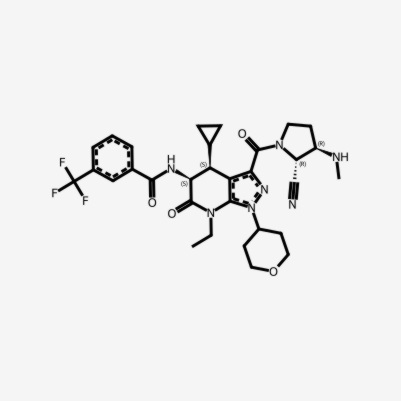 CCN1C(=O)[C@@H](NC(=O)c2cccc(C(F)(F)F)c2)[C@@H](C2CC2)c2c(C(=O)N3CC[C@@H](NC)[C@@H]3C#N)nn(C3CCOCC3)c21